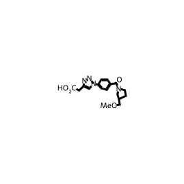 COCC1CCN(C(=O)c2ccc(-n3cc(CC(=O)O)nn3)cc2)C1